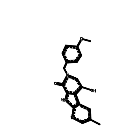 COc1ccc(Cn2cc(S)c3c([nH]c4ncc(C)cc43)c2=O)cc1